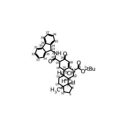 CC(C)(C)OC(=O)N1C[C@H]2[C@@H]3CCC[C@@]3(C)CC[C@@H]2[C@@]2(C)CC(C(=O)NC3c4ccccc4-c4ccccc43)C(=O)C=C12